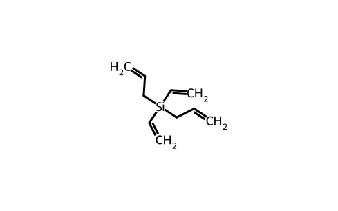 C=CC[Si](C=C)(C=C)CC=C